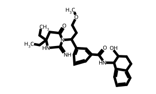 CCC1(CC)CC(=O)N(C(CCOC)c2cccc(C(=O)NC3c4ccccc4CCC3O)c2)C(=N)N1